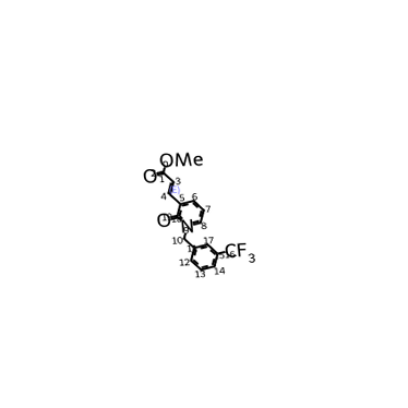 COC(=O)/C=C/c1cccn(Cc2cccc(C(F)(F)F)c2)c1=O